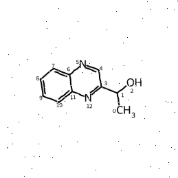 CC(O)c1cnc2ccccc2n1